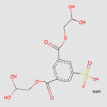 O=C(OCC(O)O)c1cc(C(=O)OCC(O)O)cc(S(=O)(=O)O)c1.[NaH]